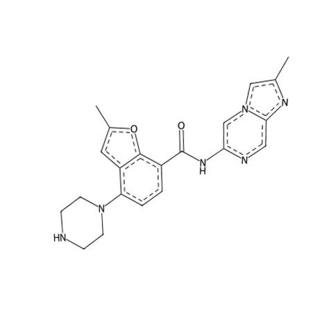 Cc1cn2cc(NC(=O)c3ccc(N4CCNCC4)c4cc(C)oc34)ncc2n1